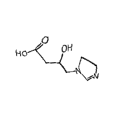 O=C(O)CC(O)CN1C=NCC1